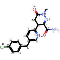 CN1N=C(C(N)=O)C(c2ccc(Cc3ccc(Cl)cc3)cn2)CC1=O